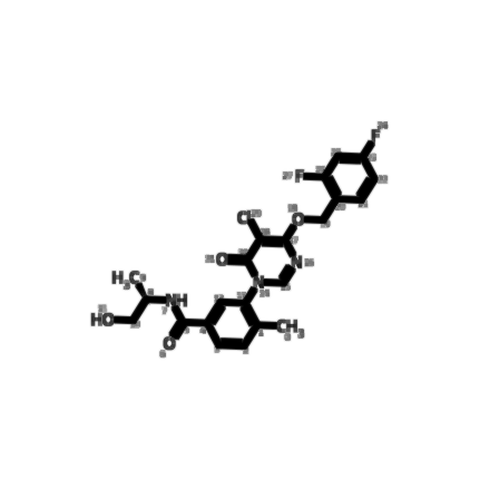 Cc1ccc(C(=O)N[C@H](C)CO)cc1-n1cnc(OCc2ccc(F)cc2F)c(Cl)c1=O